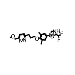 COCc1ccc(CCCOc2c(C)cc(N3CNC(C(F)F)O3)cc2C)nn1